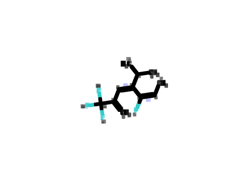 C=C(/C=C(\C(F)=C/C)C(C)C)C(F)(F)F